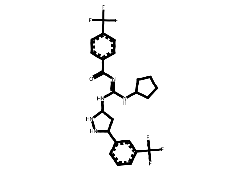 O=C(/N=C(/NC1CCCC1)NC1CC(c2cccc(C(F)(F)F)c2)NN1)c1ccc(C(F)(F)F)cc1